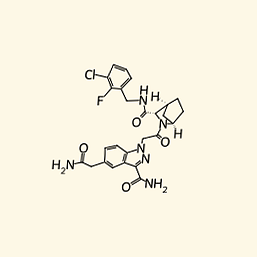 NC(=O)Cc1ccc2c(c1)c(C(N)=O)nn2CC(=O)N1[C@@H]2CC[C@@H](C2)[C@H]1C(=O)NCc1cccc(Cl)c1F